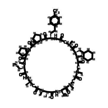 CC[C@H](C)[C@@H]1NC(=O)[C@H](C)N(C)C(=O)C[C@@H](C)NC(=O)[C@H](CC(C)C)N(C)C(=O)C2(CCCC2)NC(=O)[C@@H]2CCCN2C(=O)[C@H](CCc2ccc(C(F)(F)F)cc2)NC(=O)CN(C)C(=O)[C@H](CC2CCCCC2)N(C)C(=O)CN(C)C(=O)CN(C)C1=O